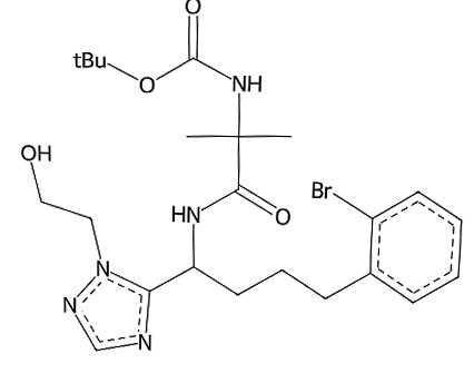 CC(C)(C)OC(=O)NC(C)(C)C(=O)NC(CCCc1ccccc1Br)c1ncnn1CCO